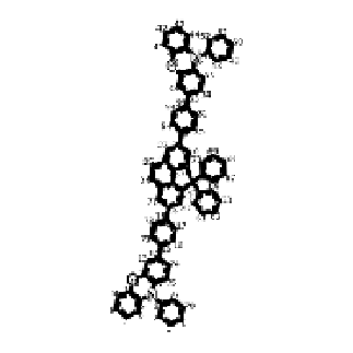 c1ccc(N2c3ccccc3Oc3cc(-c4ccc(-c5cc6c7c(ccc8cc(-c9ccc(-c%10ccc%11c(c%10)Oc%10ccccc%10N%11c%10ccccc%10)cc9)cc(c87)C6(c6ccccc6)c6ccccc6)c5)cc4)ccc32)cc1